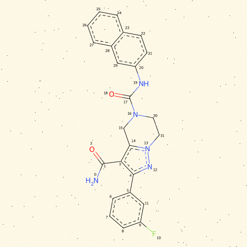 NC(=O)c1c(-c2cccc(F)c2)nn2c1CN(C(=O)Nc1ccc3ccccc3c1)CC2